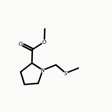 COC(=O)C1CCCN1CSC